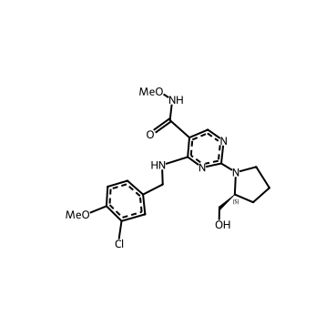 CONC(=O)c1cnc(N2CCC[C@H]2CO)nc1NCc1ccc(OC)c(Cl)c1